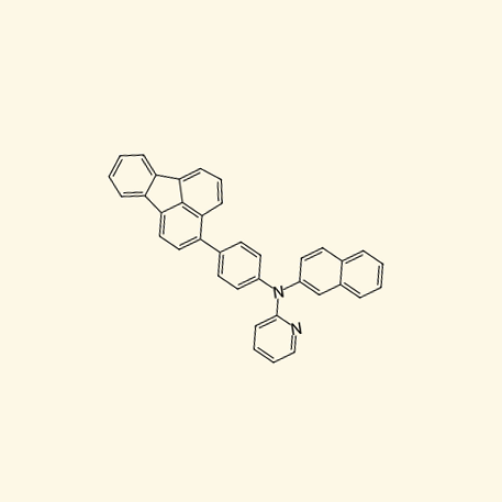 c1ccc(N(c2ccc(-c3ccc4c5c(cccc35)-c3ccccc3-4)cc2)c2ccc3ccccc3c2)nc1